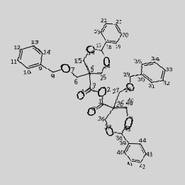 O=C(OC(=O)C1(COCc2ccccc2)COC(c2ccccc2)OC1)C1(COCc2ccccc2)COC(c2ccccc2)OC1